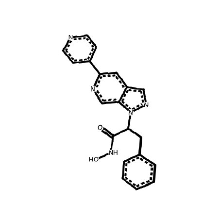 O=C(NO)C(Cc1ccccc1)n1ncc2cc(-c3ccncc3)ncc21